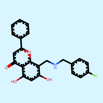 O=c1cc(-c2ccccc2)oc2c(CNCc3ccc(F)cc3)c(O)cc(O)c12